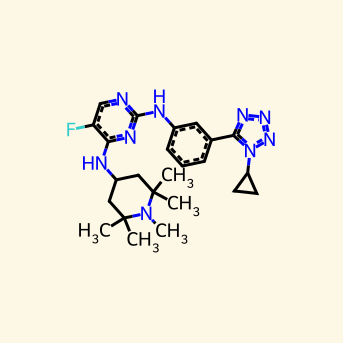 CN1C(C)(C)CC(Nc2nc(Nc3cccc(-c4nnnn4C4CC4)c3)ncc2F)CC1(C)C